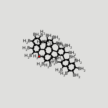 Bc1c(B)c(-c2c(B)c(B)c3c(B)c(B)c(B)c(B)c3c2B)c(B)c(-c2c3c(B)c(B)c(B)c(B)c3c(-c3c(B)c(B)c(B)c4c(B)c(B)c(B)c(B)c34)c3c(B)c(B)c(B)c(B)c23)c1B